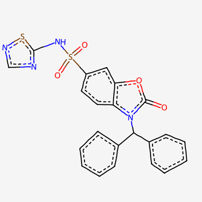 O=c1oc2cc(S(=O)(=O)Nc3ncns3)ccc2n1C(c1ccccc1)c1ccccc1